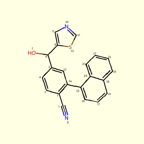 N#Cc1ccc(C(O)c2cncs2)cc1-c1cccc2ccccc12